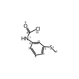 CSc1cccc(NC(=O)Cl)c1